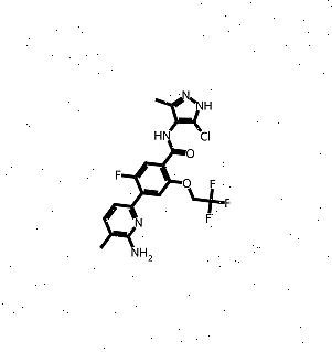 Cc1ccc(-c2cc(OCC(F)(F)F)c(C(=O)Nc3c(C)n[nH]c3Cl)cc2F)nc1N